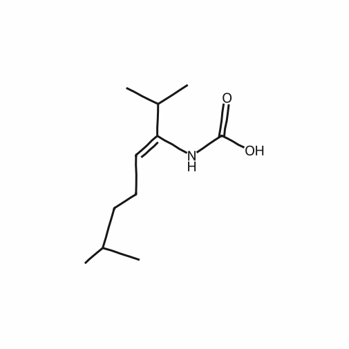 CC(C)CC/C=C(\NC(=O)O)C(C)C